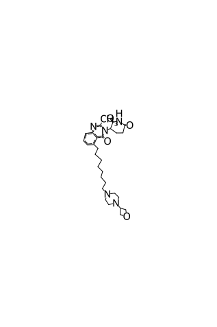 Cc1nc2cccc(CCCCCCCCN3CCN(C4COC4)CC3)c2c(=O)n1C1CCC(=O)NC1=O